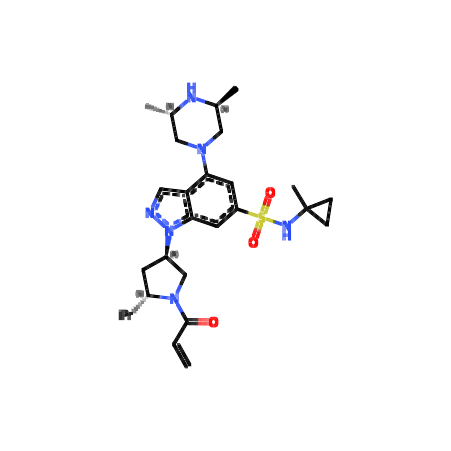 C=CC(=O)N1C[C@H](n2ncc3c(N4C[C@H](C)N[C@@H](C)C4)cc(S(=O)(=O)NC4(C)CC4)cc32)C[C@H]1C(C)C